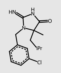 CC(C)CC1(C)C(=O)NC(=N)N1Cc1cccc(Cl)c1